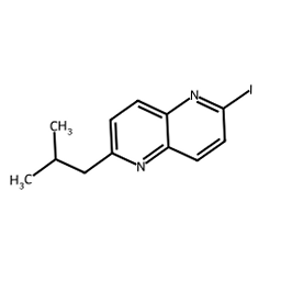 CC(C)Cc1ccc2nc(I)ccc2n1